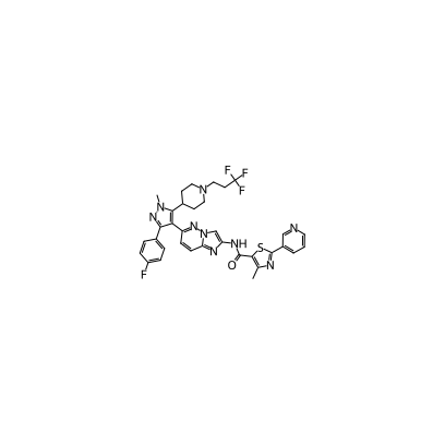 Cc1nc(-c2cccnc2)sc1C(=O)Nc1cn2nc(-c3c(-c4ccc(F)cc4)nn(C)c3C3CCN(CCC(F)(F)F)CC3)ccc2n1